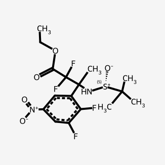 CCOC(=O)C(F)(F)C(C)(N[S@+]([O-])C(C)(C)C)c1cc([N+](=O)[O-])cc(F)c1F